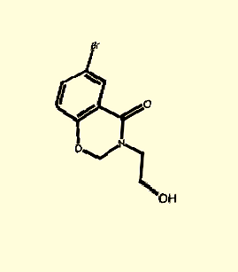 O=C1c2cc(Br)ccc2OCN1CCO